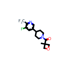 CC1(C(=O)N2CCC(c3cnc(C(F)(F)F)c(F)c3)CC2)COC1